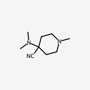 CN1CCC(C#N)(N(C)C)CC1